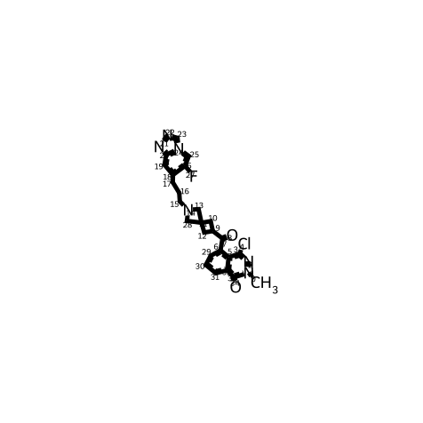 Cn1nc(Cl)c2c(C(=O)C3CC4(C3)CN(CCCc3cc5nncn5cc3F)C4)cccc2c1=O